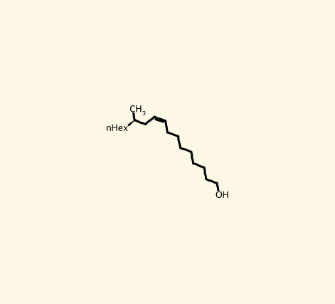 CCCCCC[C@@H](C)C/C=C\CCCCCCCCO